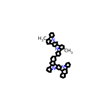 Cc1ccc2c3cc4c(cc3n3c5ccccc5c1c23)c1ccc(C)c2c3ccc(-c5ccc6cc7c8ccccc8n8c9cc%10c%11c%12ccccc%12cc%12c%13ccccc%13n(c%10cc9c(c6c5)c78)c%12%11)cc3n4c12